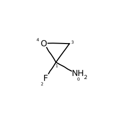 NC1(F)CO1